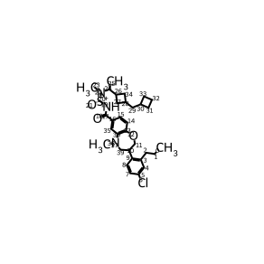 CCCc1cc(Cl)ccc1C1COc2ccc(C(=O)N[S+]([O-])N(C)C(C)C3CC(CC4CCC4)C3)cc2N(C)C1